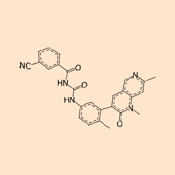 Cc1cc2c(cn1)cc(-c1cc(NC(=O)NC(=O)c3cccc(C#N)c3)ccc1C)c(=O)n2C